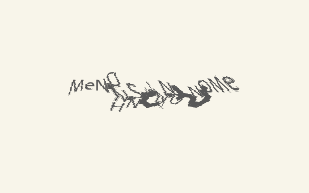 CNC(=O)Nc1nc2c(s1)[C@H](C)N(c1ncc(-c3cccc(OC)n3)o1)[C@H](C)C2